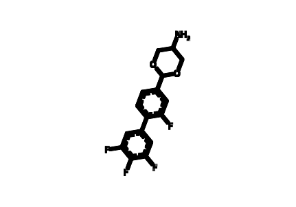 NC1COC(c2ccc(-c3cc(F)c(F)c(F)c3)c(F)c2)OC1